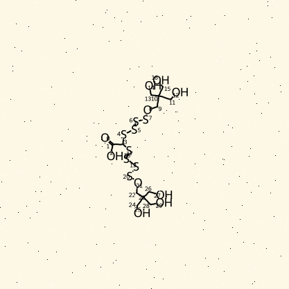 O=C(O)C(SSSSOCC(CO)(CO)CO)SSSSOCC(CO)(CO)CO